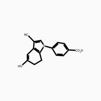 N#Cc1cn(-c2ccc(C(=O)O)cc2)c2c1C=C(O)CC2